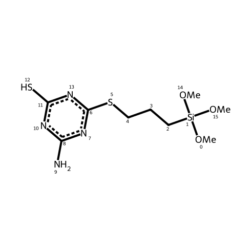 CO[Si](CCCSc1nc(N)nc(S)n1)(OC)OC